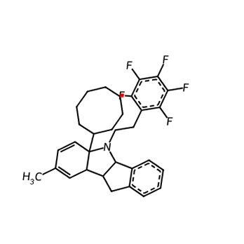 CC1=CC2C3Cc4ccccc4C3N(CCc3c(F)c(F)c(F)c(F)c3F)C2(C2CCCCCCC2)C=C1